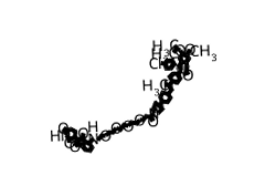 COc1cc2c(cc1OC(C)C)[C@H](c1ccc(Cl)cc1)N(c1ccc(N(C)CC3CCC(N4CCN(C(=O)CCOCCOCCOCCOCCNc5cccc6c5C(=O)N(C5CCC(=O)NC5=O)C6=O)CC4)CC3)cc1)C(=O)C2